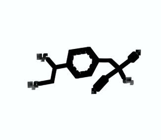 CCC(C)c1ccc(CC(C)(C#N)C#N)cc1